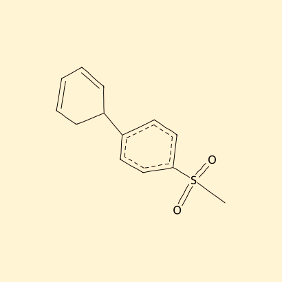 CS(=O)(=O)c1ccc(C2C=CC=CC2)cc1